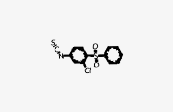 O=S(=O)(c1ccccc1)c1ccc(N=C=S)cc1Cl